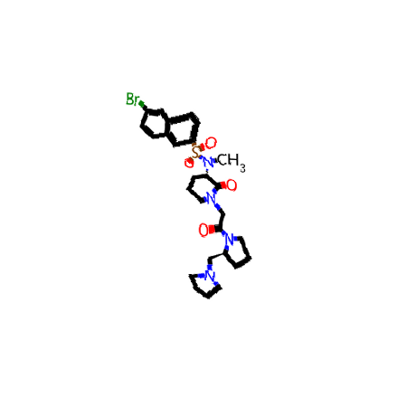 CN([C@H]1CCCN(CC(=O)N2CCC[C@H]2CN2CCCC2)C1=O)S(=O)(=O)c1ccc2cc(Br)ccc2c1